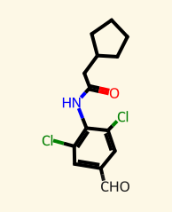 O=Cc1cc(Cl)c(NC(=O)CC2CCCC2)c(Cl)c1